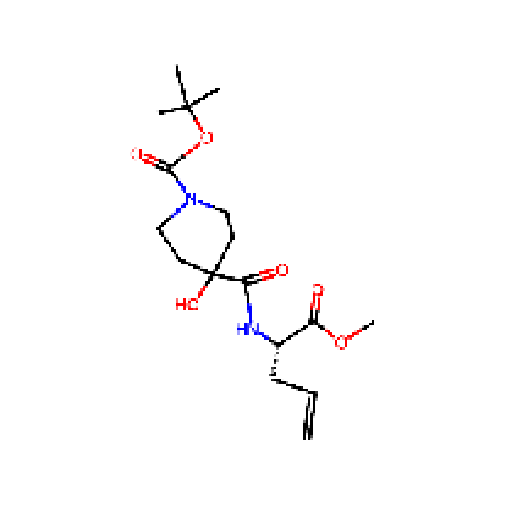 C=CC[C@H](NC(=O)C1(O)CCN(C(=O)OC(C)(C)C)CC1)C(=O)OC